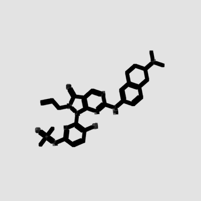 C=CCn1c(=O)c2cnc(Nc3ccc4c(c3)CCC(N(C)C)C4)nc2n1-c1nc(N=S(C)(C)=O)ccc1Cl